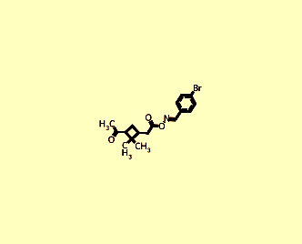 CC(=O)[C@H]1C[C@@H](CC(=O)ON=Cc2ccc(Br)cc2)C1(C)C